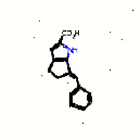 O=C(O)c1cc2c([nH]1)/C(=C/c1ccccc1)CC2